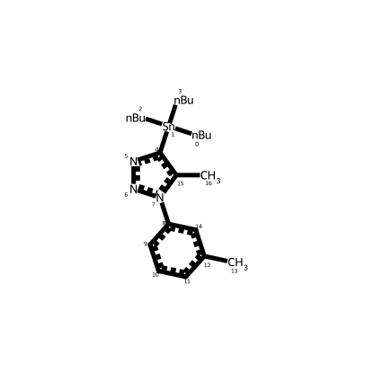 CCC[CH2][Sn]([CH2]CCC)([CH2]CCC)[c]1nnn(-c2cccc(C)c2)c1C